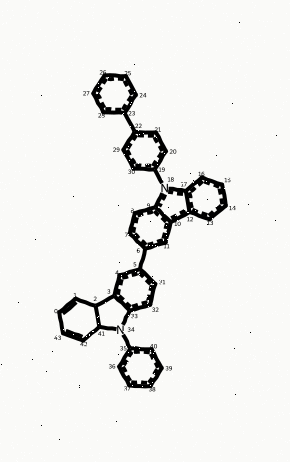 C1=CC2c3cc(-c4ccc5c(c4)c4ccccc4n5-c4ccc(-c5ccccc5)cc4)ccc3N(c3ccccc3)C2C=C1